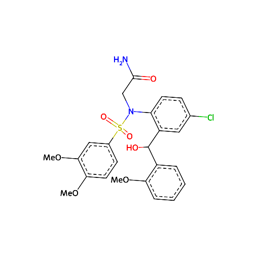 COc1ccc(S(=O)(=O)N(CC(N)=O)c2ccc(Cl)cc2C(O)c2ccccc2OC)cc1OC